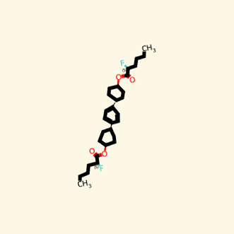 CCCC[C@H](F)C(=O)O[C@H]1CC[C@H](c2ccc([C@H]3CC[C@H](OC(=O)[C@@H](F)CCCC)CC3)cc2)CC1